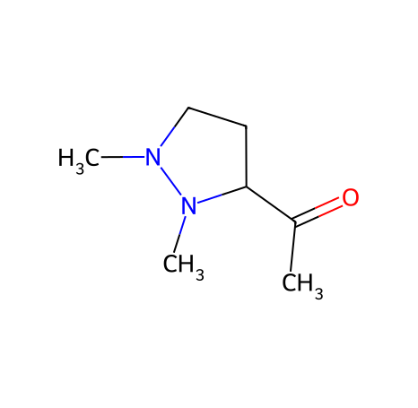 CC(=O)C1CCN(C)N1C